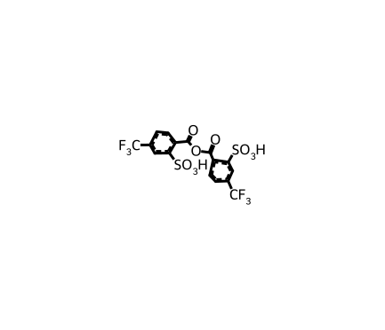 O=C(OC(=O)c1ccc(C(F)(F)F)cc1S(=O)(=O)O)c1ccc(C(F)(F)F)cc1S(=O)(=O)O